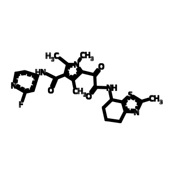 Cc1nc2c(s1)C(NC(=O)C(=O)c1c(C)c(C(=O)Nc3ccnc(F)c3)c(C)n1C)CCC2